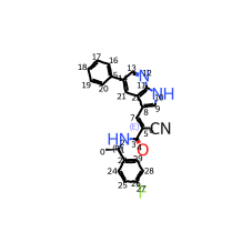 C[C@@H](NC(=O)/C(C#N)=C/c1c[nH]c2ncc(-c3ccccc3)cc12)c1ccc(F)cc1